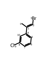 C/C(=C\Br)c1cccc(Cl)c1